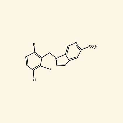 O=C(O)c1cc2ccn(Cc3c(F)ccc(Cl)c3F)c2cn1